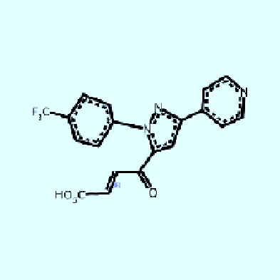 O=C(O)/C=C/C(=O)c1cc(-c2ccncc2)nn1-c1ccc(C(F)(F)F)cc1